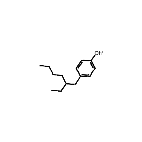 CCCCC(CC)Cc1ccc(O)cc1